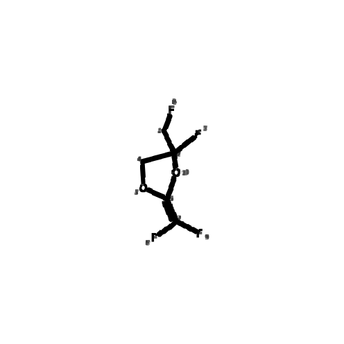 FCC1(F)COC(=C(F)F)O1